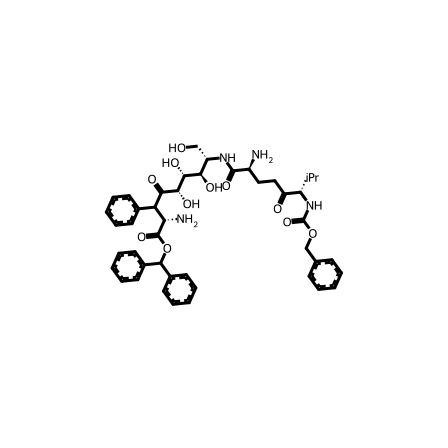 CC(C)[C@H](NC(=O)OCc1ccccc1)C(=O)CC[C@H](N)C(=O)N[C@@H](CO)[C@@H](O)[C@@H](O)[C@H](O)C(=O)C(c1ccccc1)[C@H](N)C(=O)OC(c1ccccc1)c1ccccc1